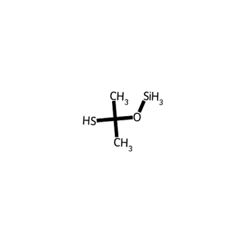 CC(C)(S)O[SiH3]